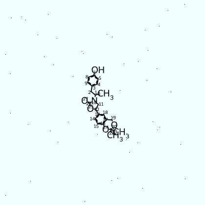 CC(Cc1ccc(O)cc1)N1CC(c2ccc3c(c2)COC(C)(C)O3)OC1=O